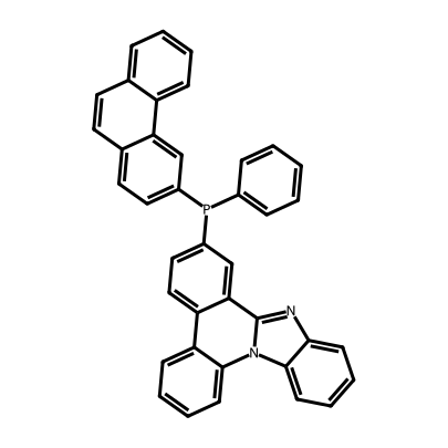 c1ccc(P(c2ccc3ccc4ccccc4c3c2)c2ccc3c4ccccc4n4c5ccccc5nc4c3c2)cc1